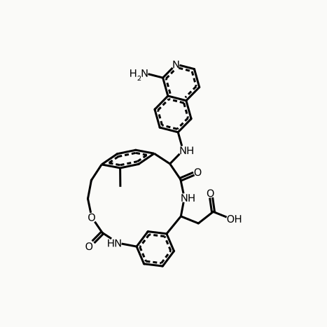 Cc1cc2ccc1CCOC(=O)Nc1cccc(c1)C(CC(=O)O)NC(=O)C2Nc1ccc2c(N)nccc2c1